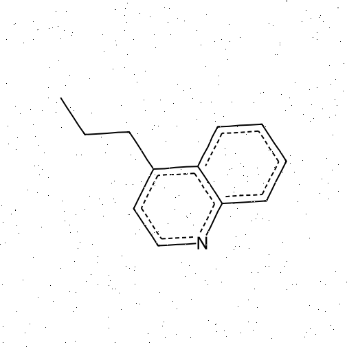 CCCc1ccnc2ccccc12